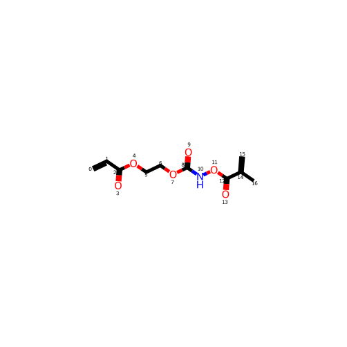 C=CC(=O)OCCOC(=O)NOC(=O)C(=C)C